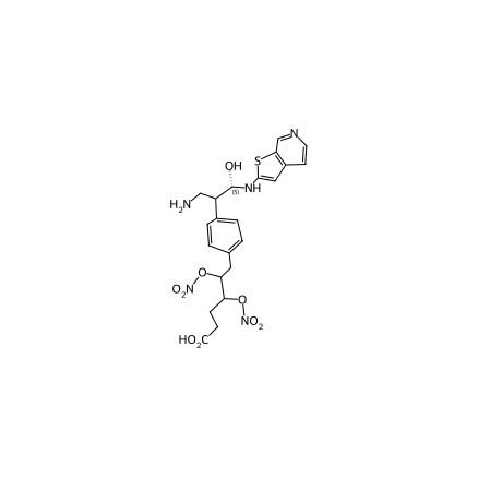 NCC(c1ccc(CC(O[N+](=O)[O-])C(CCC(=O)O)O[N+](=O)[O-])cc1)[C@H](O)Nc1cc2ccncc2s1